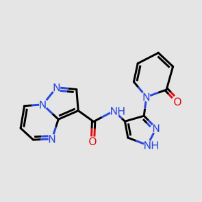 O=C(Nc1c[nH]nc1-n1ccccc1=O)c1cnn2cccnc12